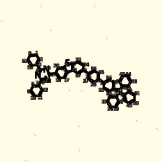 c1ccc(-c2nc(-c3ccccc3)nc(-c3ccc4c(c3)sc3ccc(-c5ccc(-c6ccc([Si](c7ccccc7)(c7ccccc7)c7ccccc7)cc6)cc5)cc34)n2)cc1